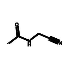 [CH2]C(=O)NCC#N